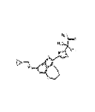 CC(C)(C(N)=O)n1cc(-c2nc3cc(NCC4CC4)cc4c3n2CCCO4)cn1